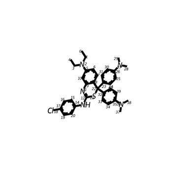 CCN(CC)c1ccc2c(c1)N=C(Nc1ccc(Cl)cc1)SC2(c1ccc(N(C)C)cc1)c1ccc(N(C)C)cc1